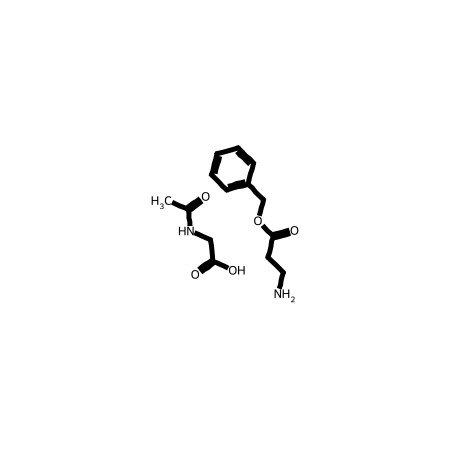 CC(=O)NCC(=O)O.NCCC(=O)OCc1ccccc1